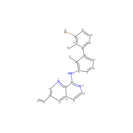 C=Cc1cnc2c(Nc3cccc(-c4cccc(Br)c4C)c3C)nccc2c1